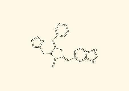 O=C1C(=Cc2ccc3[nH]cnc3c2)SC(=Nc2ccccc2)N1Cc1ccco1